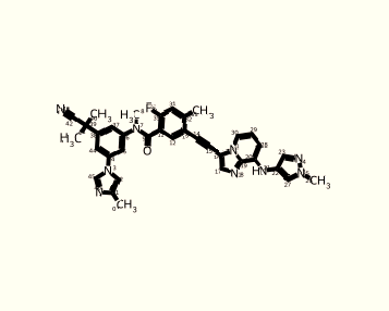 Cc1cn(-c2cc(N(C)C(=O)c3cc(C#Cc4cnc5c(Nc6cnn(C)c6)cccn45)c(C)cc3F)cc(C(C)(C)C#N)c2)cn1